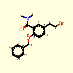 CN(C)C(=O)c1cc(CCBr)ccc1OCc1ccccc1